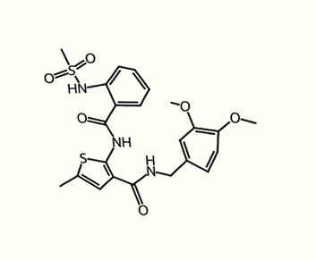 COc1ccc(CNC(=O)c2cc(C)sc2NC(=O)c2ccccc2NS(C)(=O)=O)cc1OC